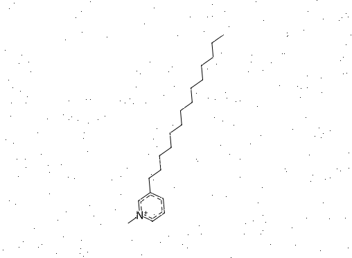 CCCCCCCCCCCCCCc1ccc[n+](C)c1